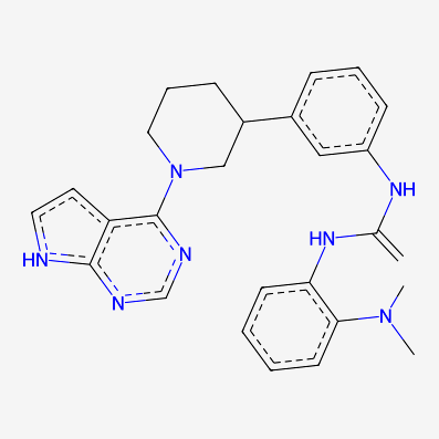 C=C(Nc1cccc(C2CCCN(c3ncnc4[nH]ccc34)C2)c1)Nc1ccccc1N(C)C